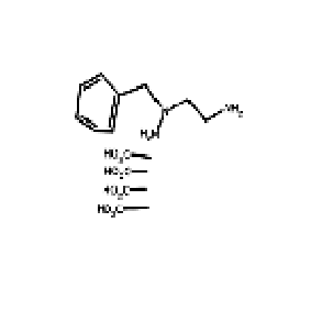 CC(=O)O.CC(=O)O.CC(=O)O.CC(=O)O.NCCN(N)Cc1ccccc1